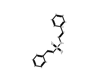 O=S(=O)(C=Cc1ccccc1)OC=Cc1ccccc1